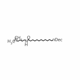 CCCCCCCCCCCCCCCCCCCCCC(=O)NCCCCN(C)C